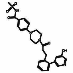 CS(=O)(=O)NC(=O)c1ccc(N2CCN(C(=O)CCc3ccccc3-c3cncc(O)c3)CC2)cc1